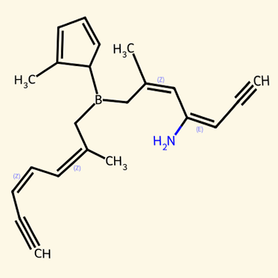 C#C/C=C\C=C(\C)CB(C/C(C)=C\C(N)=C/C#C)C1C=CC=C1C